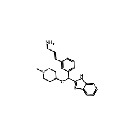 CN1CCC(OC(c2cccc(C=CCN)c2)c2nc3ccccc3[nH]2)CC1